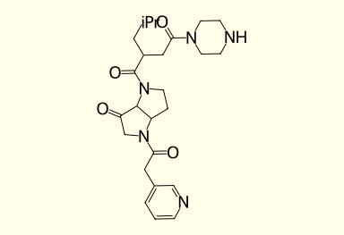 CC(C)CC(CC(=O)N1CCNCC1)C(=O)N1CCC2C1C(=O)CN2C(=O)Cc1cccnc1